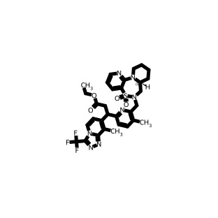 CCOC(=O)CC(c1ccc(C)c(CN2C[C@@H]3CCCCN3c3ncccc3S2(=O)=O)n1)c1ccn2c(C(F)(F)F)nnc2c1C